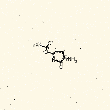 CCCC(=O)Oc1ccc(N)c(Cl)n1